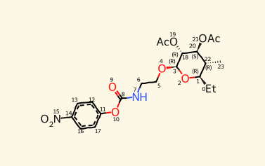 CC[C@H]1O[C@@H](OCCNC(=O)Oc2ccc([N+](=O)[O-])cc2)[C@H](OC(C)=O)[C@@H](OC(C)=O)[C@@H]1C